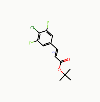 CC(C)(C)OC(=O)/C=C/c1cc(F)c(Cl)c(F)c1